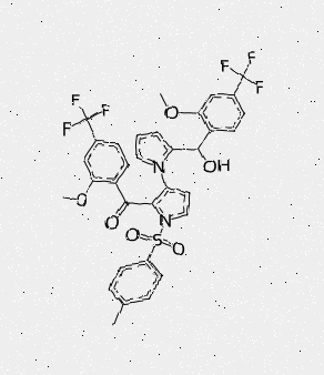 COc1cc(C(F)(F)F)ccc1C(=O)c1c(-n2cccc2C(O)c2ccc(C(F)(F)F)cc2OC)ccn1S(=O)(=O)c1ccc(C)cc1